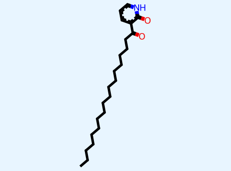 CCCCCCCCCCCCCCCCCC(=O)c1ccc[nH]c1=O